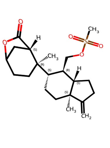 C=C1CC[C@H]2[C@H](COS(C)(=O)=O)[C@@H]([C@@]3(C)CCC4C[C@@H]3C(=O)O4)CC[C@]12C